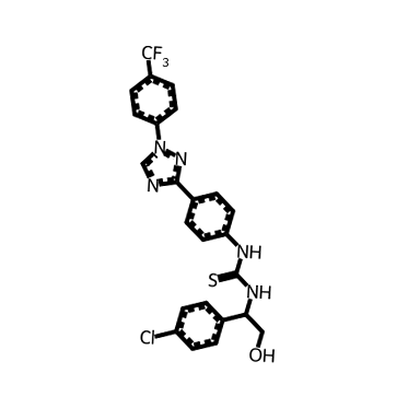 OCC(NC(=S)Nc1ccc(-c2ncn(-c3ccc(C(F)(F)F)cc3)n2)cc1)c1ccc(Cl)cc1